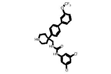 O=C(NCC1(c2ccc(-c3cccc(OC(F)(F)F)c3)cc2)CCNCC1)Nc1cc(Cl)cc(Cl)c1